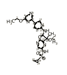 CCOc1cncc(-c2ccc(NC(=O)C(C)(OC)c3cncc(NS(=O)(=O)C4CC4)n3)nc2)n1